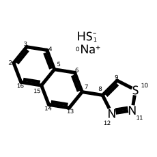 [Na+].[SH-].c1ccc2cc(-c3csnn3)ccc2c1